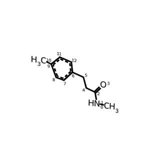 CNC(=O)CCc1ccc(C)cc1